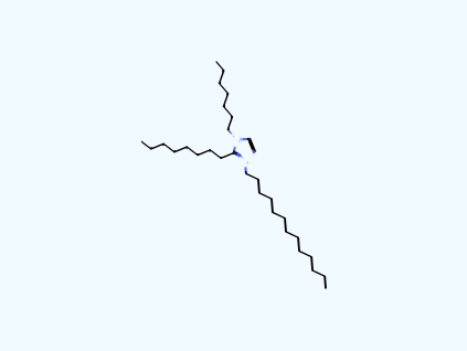 CCCCCCCCCCCCC[n+]1ccn(CCCCCCC)c1CCCCCCCC